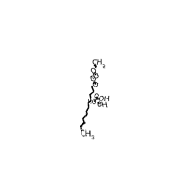 C=COOOOCCCCCCCCCCCC.O=P(O)(O)O